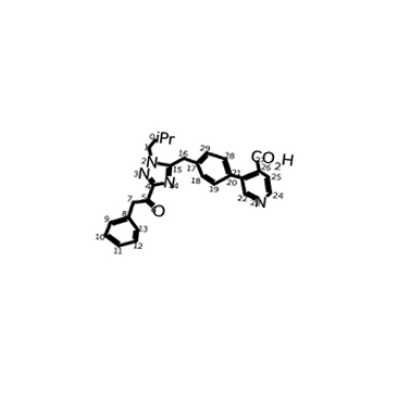 CC(C)Cn1nc(C(=O)Cc2ccccc2)nc1Cc1ccc(-c2cnccc2C(=O)O)cc1